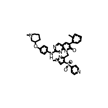 Cc1ccccc1-c1cc2cnc(Nc3ccc(OC4CCCN(C)C4)cc3)nc2n(Cc2nn(C)cc2S(=O)(=O)c2ccncc2)c1=O